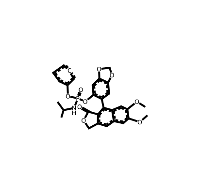 COc1cc2cc3c(c(-c4cc5c(cc4OP(=O)(NC(C)C)Oc4ccccc4)OCO5)c2cc1OC)C(=O)OC3